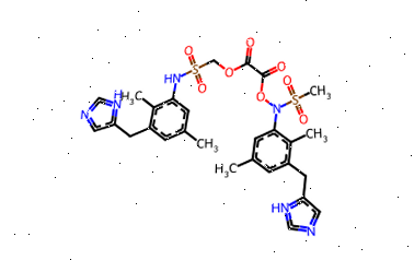 Cc1cc(Cc2cnc[nH]2)c(C)c(NS(=O)(=O)COC(=O)C(=O)ON(c2cc(C)cc(Cc3cnc[nH]3)c2C)S(C)(=O)=O)c1